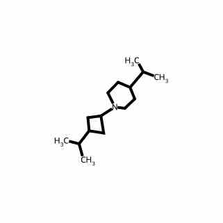 CC(C)C1CCN(C2CC(C(C)C)C2)CC1